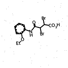 CCOc1ccccc1NC(=O)C(Br)C(Br)C(=O)O